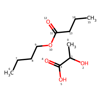 CC(O)C(=O)O.CCCCOC(=O)CCC